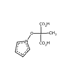 CC(On1cccc1)(C(=O)O)C(=O)O